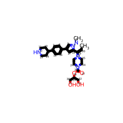 C=Nn1cc(-c2ccc(C3CCNCC3)cc2)cc1/C(=C\C)N1CCN(C(=O)OC(CO)CO)CC1